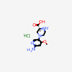 COc1cc(N)ncc1N1CCN[C@@H](C(=O)O)C1.Cl